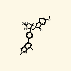 COc1ccc2c(c1)C(=O)N(C[C@@]1(c3ccc(-c4cc(C)c5nn(C)cc5c4)cc3)NC(=O)NC1=O)C2